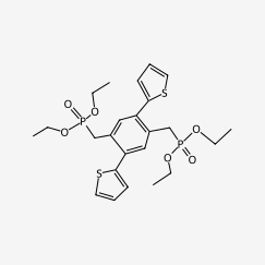 CCOP(=O)(Cc1cc(-c2cccs2)c(CP(=O)(OCC)OCC)cc1-c1cccs1)OCC